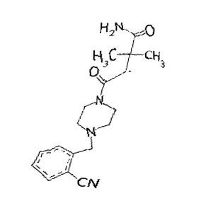 CC(C)([CH]C(=O)N1CCN(Cc2ccccc2C#N)CC1)C(N)=O